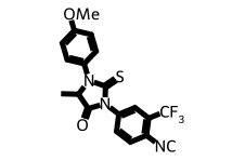 [C-]#[N+]c1ccc(N2C(=O)C(C)N(c3ccc(OC)cc3)C2=S)cc1C(F)(F)F